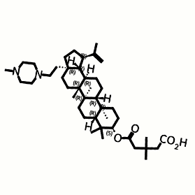 C=C(C)[C@@H]1CC[C@]2(CCN3CCN(C)CC3)CC[C@]3(C)[C@H](CC[C@@H]4[C@@]5(C)CC[C@H](OC(=O)CC(C)(C)CC(=O)O)C(C)(C)[C@@H]5CC[C@]43C)[C@@H]12